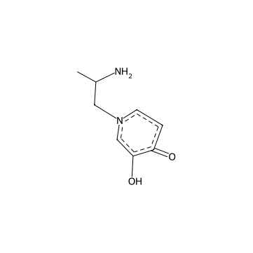 CC(N)Cn1ccc(=O)c(O)c1